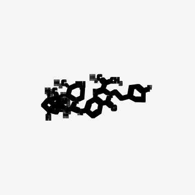 C=C(C)c1nc2cc(N=C(N[C@H]3C[C@@H]4C[C@@H]([C@H]3C)C4(C)C)N3CCN[C@@H](C)C3)ccc2c(=O)n1CCc1ccc(F)cc1